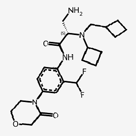 NC[C@@H](C(=O)Nc1ccc(N2CCOCC2=O)cc1C(F)F)N(CC1CCC1)C1CCC1